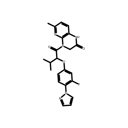 Cc1ccc2c(n1)N(C(=O)C(Oc1ccc(-n3cccn3)c(F)c1)C(C)C)CC(=O)N2